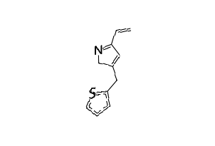 C=CC1=NCC(Cc2cccs2)=C1